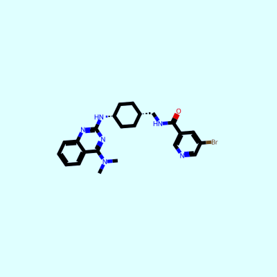 CN(C)c1nc(N[C@H]2CC[C@@H](CNC(=O)c3cncc(Br)c3)CC2)nc2ccccc12